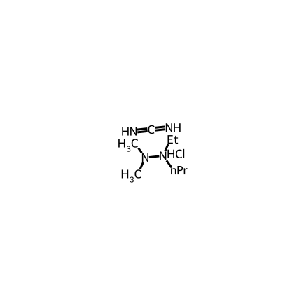 CCCN(CC)N(C)C.Cl.N=C=N